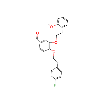 COc1ccccc1CCOc1cc(C=O)ccc1OCCc1ccc(F)cc1